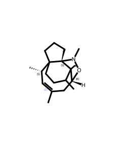 C/C1=C/[C@H](C)C23CCC[C@]24N(C)O[C@H](C1)C4(I)C(C)CC3